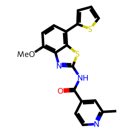 COc1ccc(-c2cccs2)c2sc(NC(=O)c3ccnc(C)c3)nc12